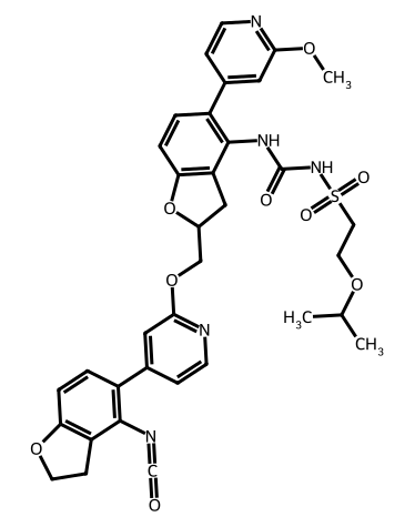 COc1cc(-c2ccc3c(c2NC(=O)NS(=O)(=O)CCOC(C)C)CC(COc2cc(-c4ccc5c(c4N=C=O)CCO5)ccn2)O3)ccn1